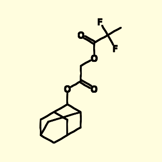 CC(F)(F)C(=O)OCC(=O)OC1C2CC3CC(C2)CC1C3